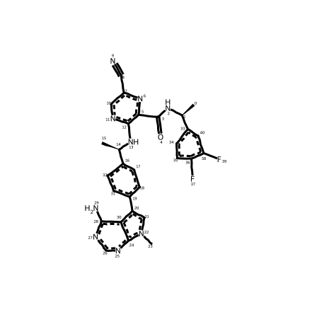 C[C@H](NC(=O)c1nc(C#N)cnc1N[C@H](C)c1ccc(-c2cn(C)c3ncnc(N)c23)cc1)c1ccc(F)c(F)c1